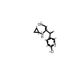 CC(/C(=C/N=O)NC1CC1)c1ccc(Cl)nc1